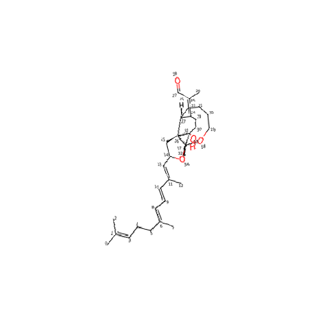 CC(C)=CCC/C(C)=C/C=C/C(C)=C/C1C[C@@]23C(OCCCC[C@@H]2/C(=C(/C)C=O)CC[C@]3(C)O)O1